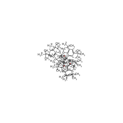 CCOP(C)(Oc1c(C(C)(C)C)cc(C(C)(C)C)cc1C(C)(C)C)(Oc1c(C(C)(C)C)cc(C(C)(C)C)cc1C(C)(C)C)OP(Oc1c(C(C)(C)C)cc(C(C)(C)C)cc1C(C)(C)C)Oc1c(C(C)(C)C)cc(C(C)(C)C)cc1C(C)(C)C